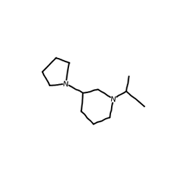 CC(C)N1CCCC(N2CCCC2)C1